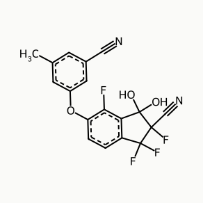 Cc1cc(C#N)cc(Oc2ccc3c(c2F)C(O)(O)C(F)(C#N)C3(F)F)c1